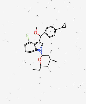 CC[C@H]1O[C@@H](n2cc(C(OC)c3ccc(C4CC4)cc3)c3c(F)cccc32)[C@H](C)[C@@H](C)[C@@H]1C